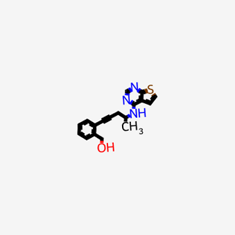 CC(CC#Cc1ccccc1CO)Nc1ncnc2sccc12